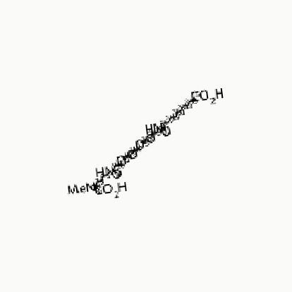 CN[C@@H](CCCCNC(=O)CCOCCOCCOCCOCCNC(=O)CCCCCCCCCCC(=O)O)C(=O)O